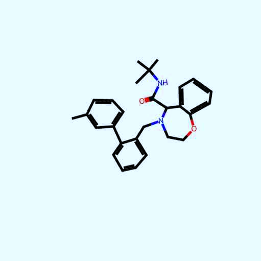 Cc1cccc(-c2ccccc2CN2CCOc3ccccc3C2C(=O)NC(C)(C)C)c1